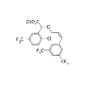 CCOC(=O)C(OC/C=C\c1cc(C(F)(F)F)cc(C(F)(F)F)c1)c1cc(C(F)(F)F)ccc1Cl